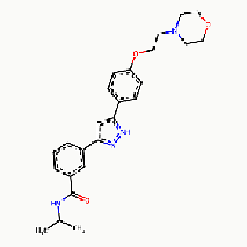 CC(C)NC(=O)c1cccc(-c2cc(-c3ccc(OCCN4CCOCC4)cc3)[nH]n2)c1